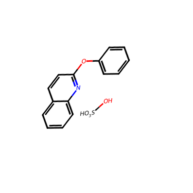 O=S(=O)(O)O.c1ccc(Oc2ccc3ccccc3n2)cc1